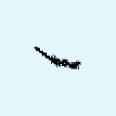 CCCCCC/C=C/CCC(=O)Oc1ccc(-c2ccc(CCC(C)OC(=O)CC)cc2)nc1